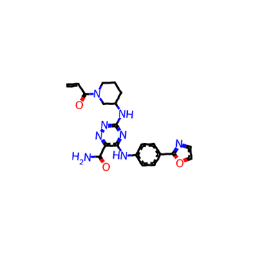 C=CC(=O)N1CCCC(Nc2nnc(C(N)=O)c(Nc3ccc(-c4ncco4)cc3)n2)C1